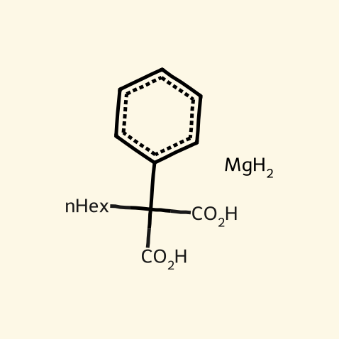 CCCCCCC(C(=O)O)(C(=O)O)c1ccccc1.[MgH2]